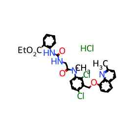 CCOC(=O)c1ccccc1NC(=O)NCC(=O)N(C)c1ccc(Cl)c(COc2cccc3ccc(C)nc23)c1Cl.Cl